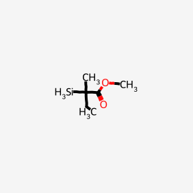 CCC(C)([SiH3])C(=O)OC